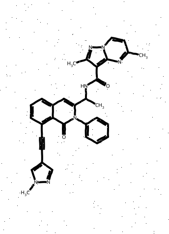 Cc1ccn2nc(C)c(C(=O)NC(C)c3cc4cccc(C#Cc5cnn(C)c5)c4c(=O)n3-c3ccccc3)c2n1